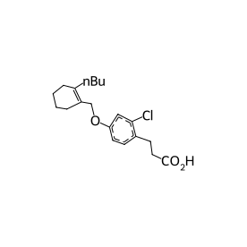 CCCCC1=C(COc2ccc(CCC(=O)O)c(Cl)c2)CCCC1